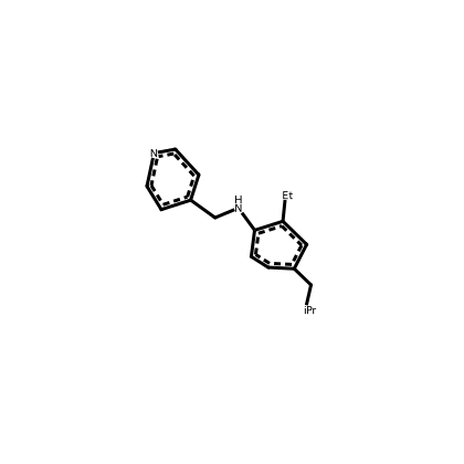 CCc1cc(CC(C)C)ccc1NCc1ccncc1